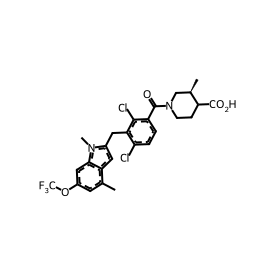 Cc1cc(OC(F)(F)F)cc2c1cc(Cc1c(Cl)ccc(C(=O)N3CCC(C(=O)O)[C@H](C)C3)c1Cl)n2C